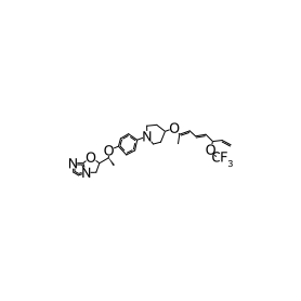 C=CC(C=C/C=C(\C)OC1CCN(c2ccc(O[C@@H](C)C3Cn4ccnc4O3)cc2)CC1)OC(F)(F)F